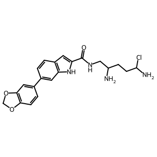 NC(Cl)CCC(N)CNC(=O)c1cc2ccc(-c3ccc4c(c3)OCO4)cc2[nH]1